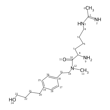 CC(=N)NCCCCC(N)C(=O)N(C)CCc1ccc(CCCCO)cc1